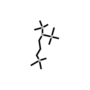 CS(C)(C)CCCN(S(C)(C)C)S(C)(C)C